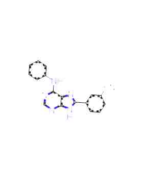 N#Cc1cccc(-c2nc3c(Nc4ccccc4)ncnc3[nH]2)c1